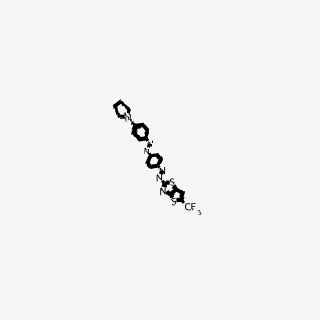 FC(F)(F)c1cc2sc(N=Nc3ccc(N=Nc4ccc(N5CCCC5)cc4)cc3)nc2s1